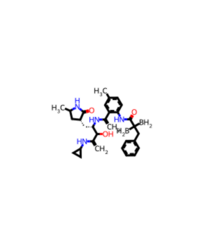 BC(B)(Cc1ccccc1)C(=O)Nc1ccc(C)cc1C(=C)N[C@@H](C[C@@H]1CC(C)NC1=O)C(O)C(=C)NC1CC1